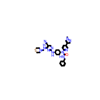 Cn1cc(-c2ccc(N(C(=O)NCc3ccccc3)[C@H]3CC[C@H](Nc4ncc(C#N)c(NCN5CCSCC5)n4)CC3)nc2)cn1